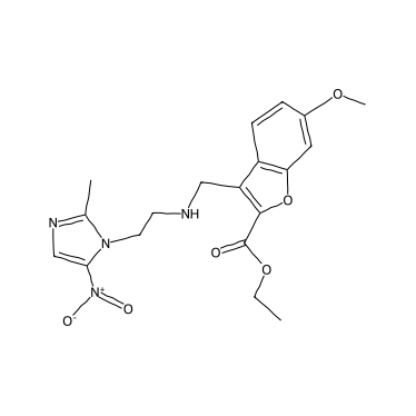 CCOC(=O)c1oc2cc(OC)ccc2c1CNCCn1c([N+](=O)[O-])cnc1C